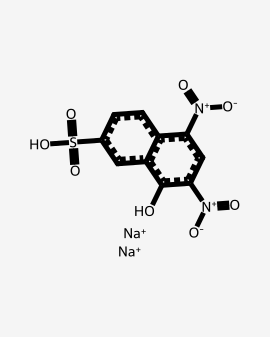 O=[N+]([O-])c1cc([N+](=O)[O-])c2ccc(S(=O)(=O)O)cc2c1O.[Na+].[Na+]